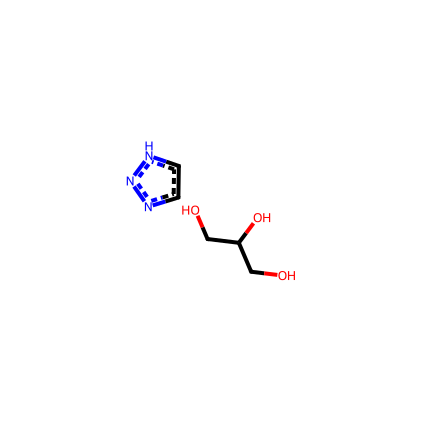 OCC(O)CO.c1c[nH]nn1